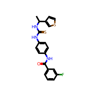 CC(NC(=S)Nc1ccc(NC(=O)c2cccc(F)c2)cc1)c1ccsc1